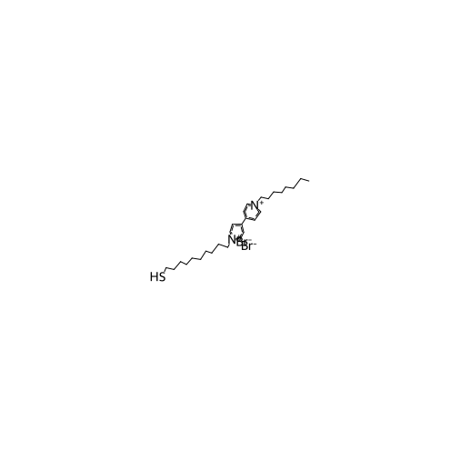 CCCCCCCC[n+]1ccc(-c2cc[n+](CCCCCCCCCCS)cc2)cc1.[Br-].[Br-]